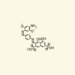 COc1cc(/N=N\c2ccc(N=Nc3c(S(=O)(=O)O)cc4cc(S(=O)(=O)O)cc(O)c4c3O)cc2)c(OC)cc1N